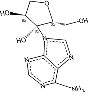 Nc1ncnc2c1ncn2[C@@]1(O)[C@@H](O)CO[C@@H]1CO